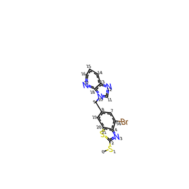 CSc1nc2c(Br)cc(Cn3cnc4cccnc43)cc2s1